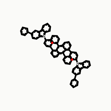 c1ccc(-c2ccc3c(c2)c2ccccc2n3-c2ccc(-c3cccc4c(-c5ccccc5)c5c(-c6ccc(-n7c8ccccc8c8cc(-c9ccccc9)ccc87)cc6)cccc5c(-c5ccccc5)c34)cc2)cc1